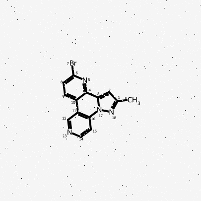 Cc1cc2c3nc(Br)ccc3c3cnccc3n2n1